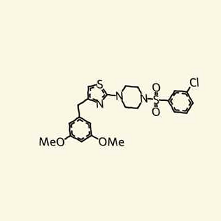 COc1cc(Cc2csc(N3CCN(S(=O)(=O)c4cccc(Cl)c4)CC3)n2)cc(OC)c1